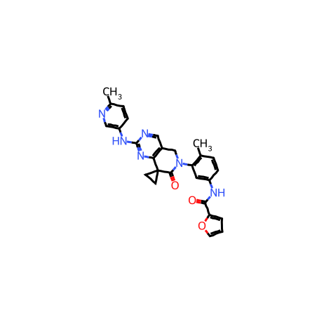 Cc1ccc(Nc2ncc3c(n2)C2(CC2)C(=O)N(c2cc(NC(=O)c4ccco4)ccc2C)C3)cn1